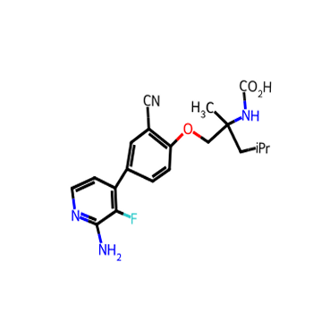 CC(C)CC(C)(COc1ccc(-c2ccnc(N)c2F)cc1C#N)NC(=O)O